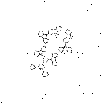 CC1(C)c2ccccc2-c2ccc(-n3c4ccccc4c4cc(-c5ccc6c(c5)c5ccccc5n6-c5cc(-c6cc(-c7ccccc7)nc(-c7ccccc7)n6)cc(-n6c7ccccc7c7cc(-c8ccc9c(c8)c8ccccc8n9-c8ccc9c(c8)C(C)(C)c8ccccc8-9)ccc76)c5)ccc43)cc21